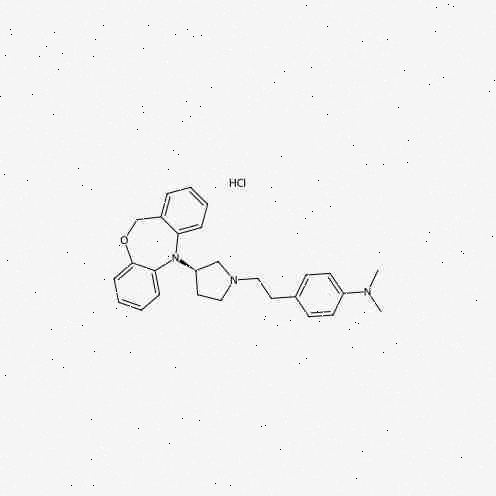 CN(C)c1ccc(CCN2CC[C@@H](N3c4ccccc4COc4ccccc43)C2)cc1.Cl